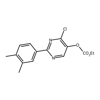 CCOC(=O)Oc1cnc(-c2ccc(C)c(C)c2)nc1Cl